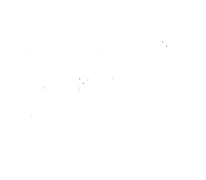 CN1CCC(OC(=O)Nc2ccccc2-c2ccccc2)CC1